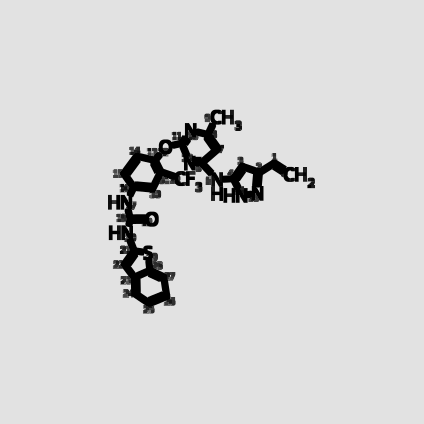 C=Cc1cc(Nc2cc(C)nc(Oc3ccc(NC(=O)Nc4cc5ccccc5s4)cc3C(F)(F)F)n2)[nH]n1